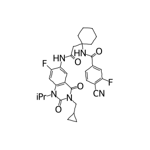 CC(C)n1c(=O)n(CC2CC2)c(=O)c2cc(NC(=O)CC3(NC(=O)c4ccc(C#N)c(F)c4)CCCCC3)c(F)cc21